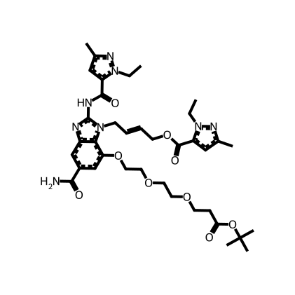 CCn1nc(C)cc1C(=O)Nc1nc2cc(C(N)=O)cc(OCCOCCOCCC(=O)OC(C)(C)C)c2n1CC=CCOC(=O)c1cc(C)nn1CC